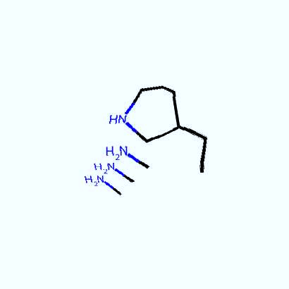 CCC1CCNC1.CN.CN.CN